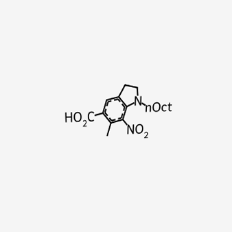 CCCCCCCCN1CCc2cc(C(=O)O)c(C)c([N+](=O)[O-])c21